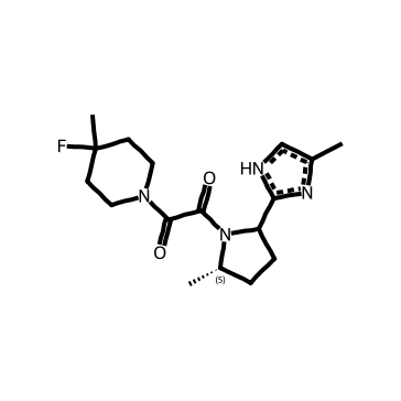 Cc1c[nH]c(C2CC[C@H](C)N2C(=O)C(=O)N2CCC(C)(F)CC2)n1